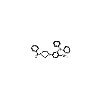 Nc1ccc(N2CCN(C(=O)c3ccccc3)CC2)cc1N(c1ccccc1)c1ccccc1